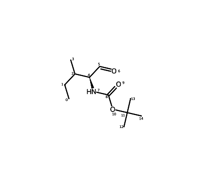 CCC(C)[C@@H](C=O)NC(=O)OC(C)(C)C